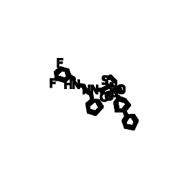 O=C(NC(CCNCc1cc(F)cc(F)c1)c1ccccc1)C1SCCN1S(=O)(=O)c1ccc(-c2ccccc2)cc1